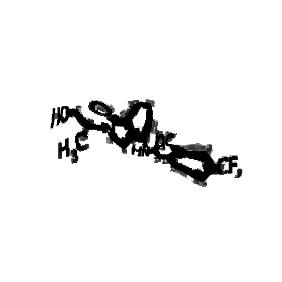 C[C@H](CO)n1ccc2c(NC(=O)Cc3ccc(C(F)(F)F)cc3C(F)(F)F)cccc2c1=O